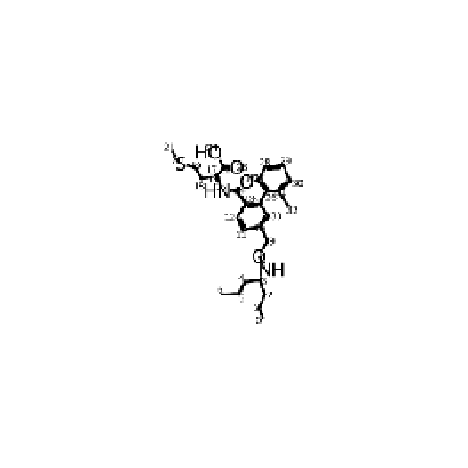 CCCC(CCC)NOCc1ccc(C(=O)N[C@@H](CCSC)C(=O)O)c(-c2ccccc2C)c1